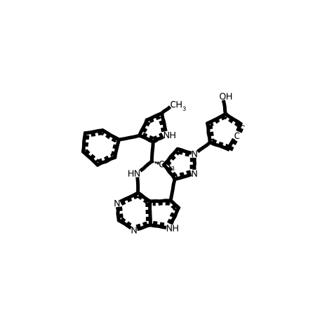 Cc1cc(-c2ccccc2)c([C@H](C)Nc2ncnc3[nH]cc(-c4ccn(-c5cccc(O)c5)n4)c23)[nH]1